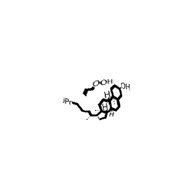 C=CCOO.CC(C)CCC[C@@H](C)[C@H]1CC[C@H]2[C@@H]3CC=C4C[C@@H](O)CC[C@]4(C)[C@H]3CC[C@]12C